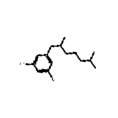 CC(C)CCCC(C)Cc1cc(O)cc(O)c1